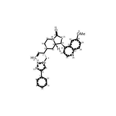 C=C[C@@H](Cn1cc(-c2ccccc2)nn1)[C@H]1CCN2C(=O)S[C@@H](c3ccnc4ccc(OC)cc34)[C@@H]2C1